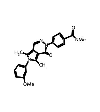 CNC(=O)c1ccc(-n2ncc3c(C)n(-c4cccc(OC)c4)c(C)c3c2=O)cc1